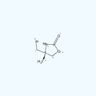 CC(C)C[C@@]1(C)COC(=O)N1